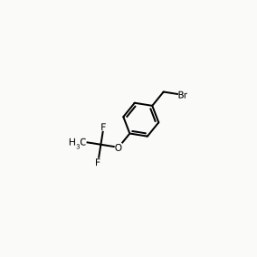 CC(F)(F)Oc1ccc(CBr)cc1